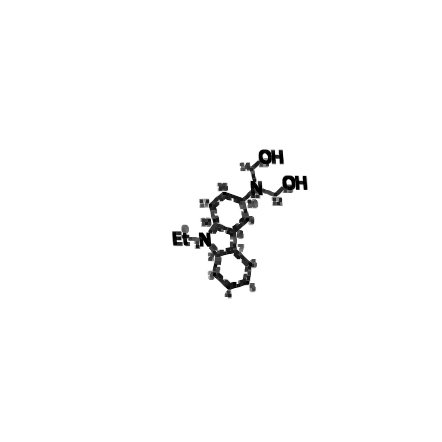 CCn1c2ccccc2c2cc(N(CO)CO)ccc21